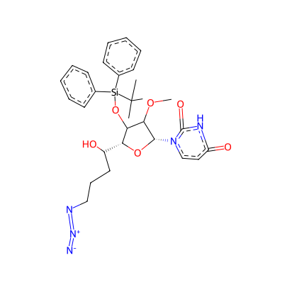 COC1C(O[Si](c2ccccc2)(c2ccccc2)C(C)(C)C)[C@@H](C(O)CCCN=[N+]=[N-])O[C@H]1n1ccc(=O)[nH]c1=O